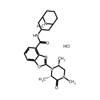 C[C@H]1CN(C)C(=O)[C@H](C)N1c1nc2c(C(=O)NC3CC4CCCC(C3)N4C)cccc2o1.Cl